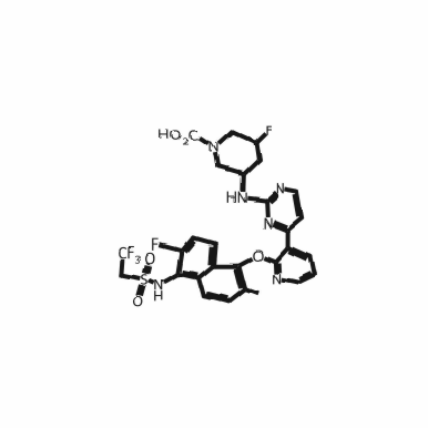 Cc1ccc2c(NS(=O)(=O)CC(F)(F)F)c(F)ccc2c1Oc1ncccc1-c1ccnc(NC2CC(F)CN(C(=O)O)C2)n1